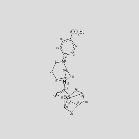 CCOC(=O)c1ccc(N2CCC3CC2CN3C(=O)C23CC4CC(CC(C4)C2)C3)cc1